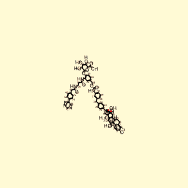 C[C@]12C=CC(=O)C=C1CC[C@@H]1[C@@H]2[C@@H](O)C[C@@]2(C)[C@H]1C[C@H]1CN(c3ccc(Cc4cccc(NC(=O)OCc5ccc(O[C@@H]6O[C@H](C(=O)O)[C@@H](O)[C@H](O)[C@H]6O)c(NC(=O)CCNC(=O)Cc6ccc(-c7nncnn7)cc6)c5)c4)cc3)C[C@]12C(=O)CO